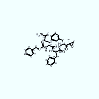 C[C@]1(C(=O)[C@H](Cc2ccccc2)NC(=O)C(Cc2ccccc2)NC(=O)[C@H](CCC(N)=O)NC(=O)OCc2ccccc2)CO1